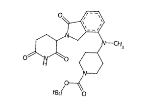 CN(c1cccc2c1CN(C1CCC(=O)NC1=O)C2=O)C1CCN(C(=O)OC(C)(C)C)CC1